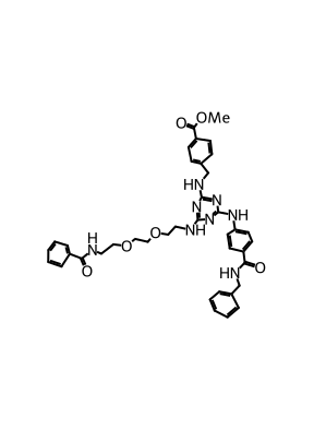 COC(=O)c1ccc(CNc2nc(NCCOCCOCCNC(=O)c3ccccc3)nc(Nc3ccc(C(=O)NCc4ccccc4)cc3)n2)cc1